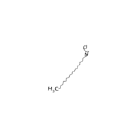 CCCCCCCCCCCCCCCCCCCC[N@]1CC1CCl